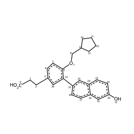 O=C(O)CCc1ccc(OCC2CCCC2)c(-c2ccc3cc(O)ccc3c2)c1